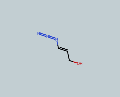 [N-]=[N+]=NC=C[CH]O